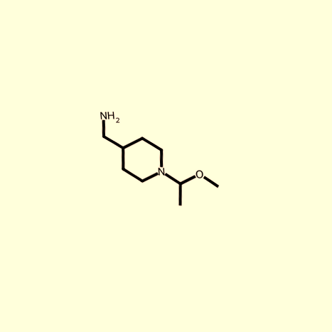 COC(C)N1CCC(CN)CC1